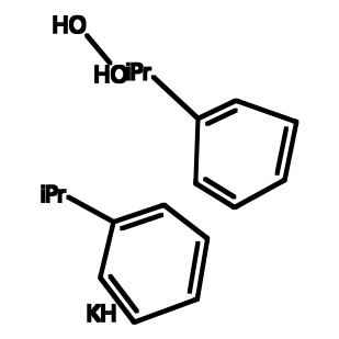 CC(C)c1ccccc1.CC(C)c1ccccc1.OO.[KH]